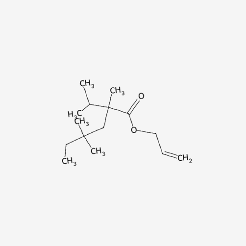 C=CCOC(=O)C(C)(CC(C)(C)CC)C(C)C